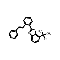 CCC(C)(C)c1cccc2nc(-c3ccccc3C=Cc3ccccc3)oc12